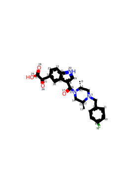 C[C@@H]1CN(Cc2ccc(F)cc2)[C@@H](C)CN1C(=O)c1c[nH]c2ccc(C(=O)C(=O)O)cc12